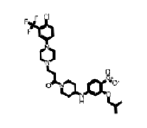 CC(C)COc1cc(NC2CCN(C(=O)CCN3CCN(c4ccc(Cl)c(C(F)(F)F)c4)CC3)CC2)ccc1[N+](=O)[O-]